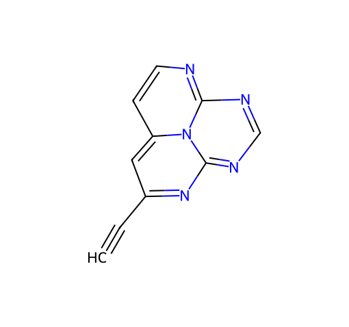 C#CC1=NC2=NC=NC3=NC=CC(=C1)N32